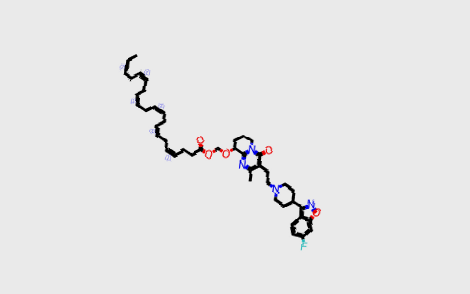 C/C=C\C/C=C\C/C=C\C/C=C\C/C=C\C/C=C\CCC(=O)OCOC1CCCn2c1nc(C)c(CCN1CCC(c3noc4cc(F)ccc34)CC1)c2=O